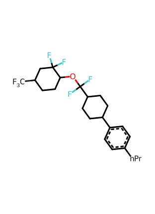 CCCc1ccc(C2CCC(C(F)(F)OC3CCC(C(F)(F)F)CC3(F)F)CC2)cc1